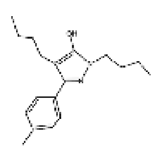 CCCCc1c(-c2ccc(C)cc2)nn(CCCC)c1O